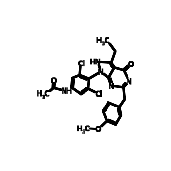 CCc1[nH]n(-c2c(Cl)cc(NC(C)=O)cc2Cl)c2nc(Cc3ccc(OC)cc3)nc(=O)c1-2